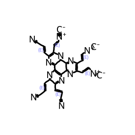 [C-]#[N+]/C=C/c1nc2c(nc1/C=C/C#N)c1nc(/C=C/C#N)c(/C=C/C#N)nc1c1nc(/C=C/[N+]#[C-])c(/C=C/[N+]#[C-])nc21